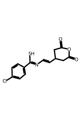 O=C1CC(/C=C/N=C(\S)c2ccc(Cl)cc2)CC(=O)O1